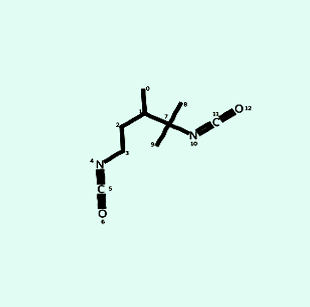 CC(CCN=C=O)C(C)(C)N=C=O